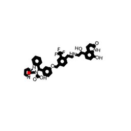 O=C(O)N([C@@H](c1ccccc1)c1cccc(OCc2ccc(CCNC[C@H](O)c3ccc(O)c4[nH]c(=O)ccc34)c(C(F)(F)F)c2)c1)[C@H]1CN2CCC1CC2